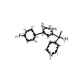 CC(O)(c1ccncc1)c1cc(-c2ccc(F)cc2)n[nH]1